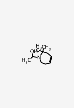 CC(O)N1CCC=CCC1(C)C